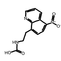 O=C(O)NCCc1ccc([N+](=O)[O-])c2cccnc12